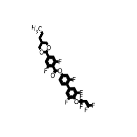 CCCC1COC(c2cc(F)c(C(=O)Oc3ccc(-c4cc(F)c(OC(F)(F)C=C(F)F)c(F)c4)c(F)c3)c(F)c2)OC1